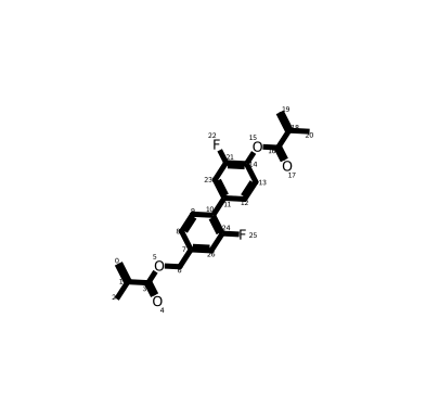 C=C(C)C(=O)OCc1ccc(-c2ccc(OC(=O)C(=C)C)c(F)c2)c(F)c1